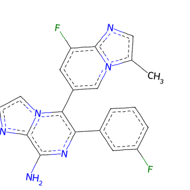 Cc1cnc2c(F)cc(-c3c(-c4cccc(F)c4)nc(N)c4nccn34)cn12